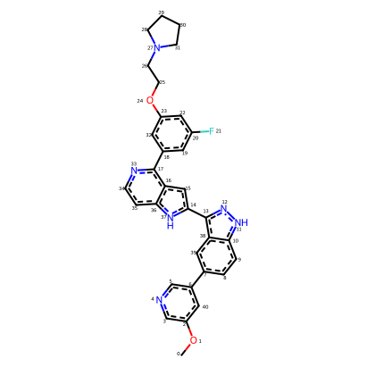 COc1cncc(-c2ccc3[nH]nc(-c4cc5c(-c6cc(F)cc(OCCN7CCCC7)c6)nccc5[nH]4)c3c2)c1